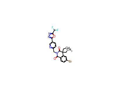 CCC1(CC)C(=O)N(Cc2ccc(-c3nnc(C(F)F)o3)cn2)C(=O)c2ccc(Br)cc21